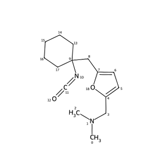 CN(C)Cc1ccc(CC2(N=C=O)CCCCC2)o1